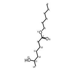 CCCCCCOC(=O)CCCCC(C)O